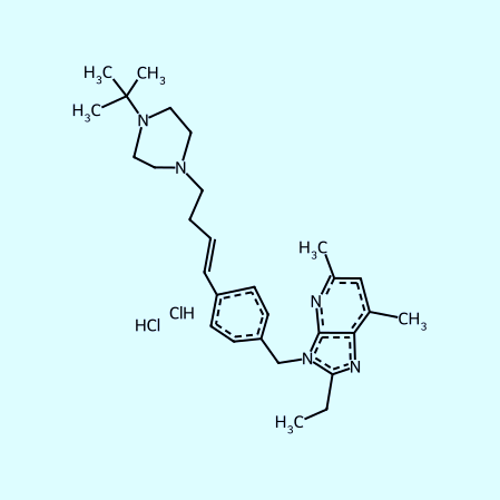 CCc1nc2c(C)cc(C)nc2n1Cc1ccc(C=CCCN2CCN(C(C)(C)C)CC2)cc1.Cl.Cl